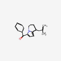 C=C(C)C1CCn2c(C(=O)c3ccccc3)ccc21